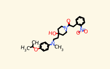 CC(C)Oc1ccc(N(C)CCC2(O)CCN(C(=O)Cc3ccccc3[N+](=O)[O-])CC2)cc1